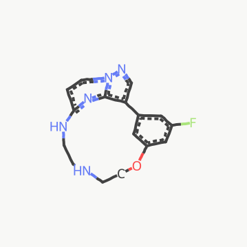 Fc1cc2cc(c1)-c1cnn3ccc(nc13)NCCNCCO2